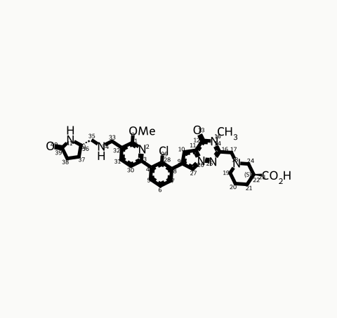 COc1nc(-c2cccc(-c3cc4c(=O)n(C)c(CN5CCC[C@H](C(=O)O)C5)nn4c3)c2Cl)ccc1CNC[C@@H]1CCC(=O)N1